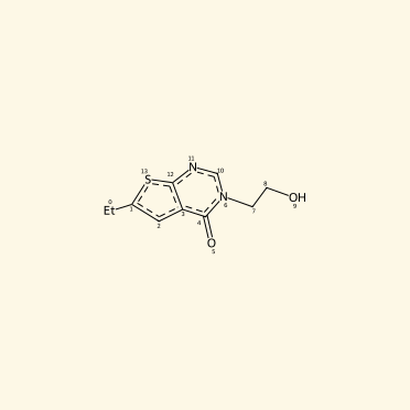 CCc1cc2c(=O)n(CCO)cnc2s1